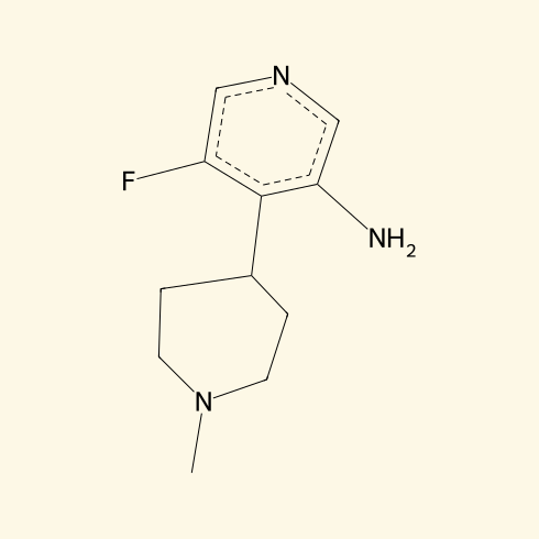 CN1CCC(c2c(N)cncc2F)CC1